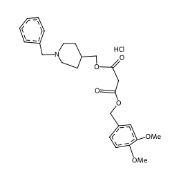 COc1ccc(COC(=O)CC(=O)OCC2CCN(Cc3ccccc3)CC2)cc1OC.Cl